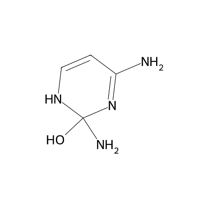 NC1=NC(N)(O)NC=C1